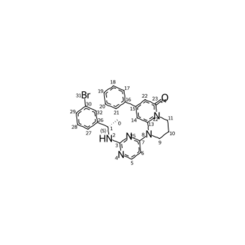 C[C@H](Nc1nccc(N2CCCn3c2cc(-c2ccccc2)cc3=O)n1)c1cccc(Br)c1